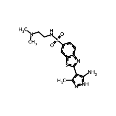 Cc1n[nH]c(N)c1-c1nc2ccc(S(=O)(=O)NCCN(C)C)cc2s1